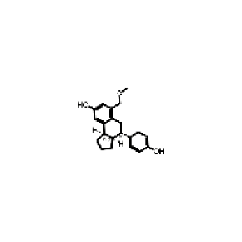 COCc1cc(O)cc2c1C[C@@H](C1C=CC(O)=CC1)[C@H]1CCC[C@@H]21